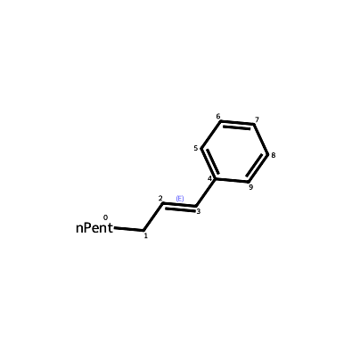 CCCCCC/C=C/c1ccccc1